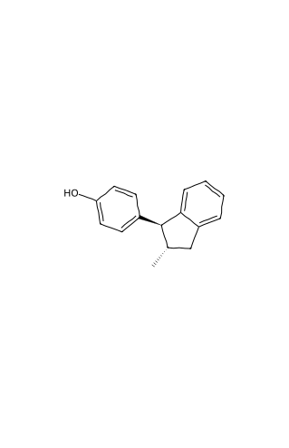 C[C@H]1Cc2ccccc2[C@@H]1c1ccc(O)cc1